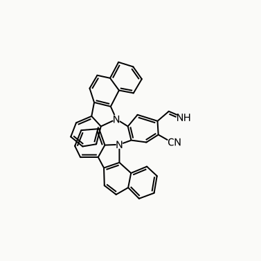 N#Cc1cc(-n2c3ccccc3c3ccc4ccccc4c32)c(-n2c3ccccc3c3ccc4ccccc4c32)cc1C=N